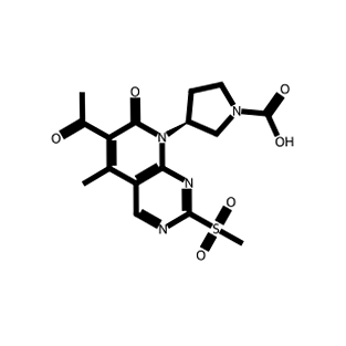 CC(=O)c1c(C)c2cnc(S(C)(=O)=O)nc2n([C@H]2CCN(C(=O)O)C2)c1=O